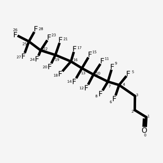 O=CCCC(F)(F)C(F)(F)C(F)(F)C(F)(F)C(F)(F)C(F)(F)C(F)(F)C(F)(F)F